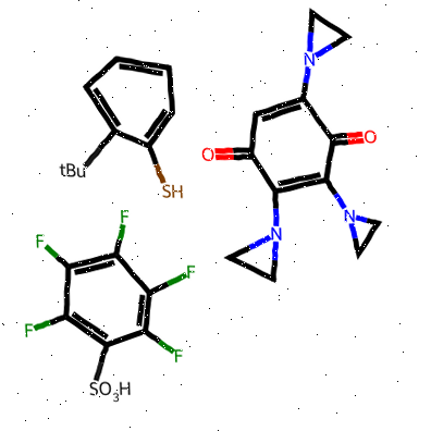 CC(C)(C)c1ccccc1S.O=C1C=C(N2CC2)C(=O)C(N2CC2)=C1N1CC1.O=S(=O)(O)c1c(F)c(F)c(F)c(F)c1F